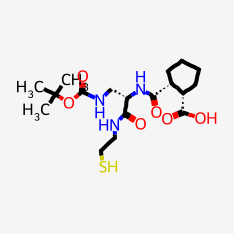 CC(C)(C)OC(=O)NC[C@H](NC(=O)[C@@H]1CCCC[C@@H]1C(=O)O)C(=O)NCCS